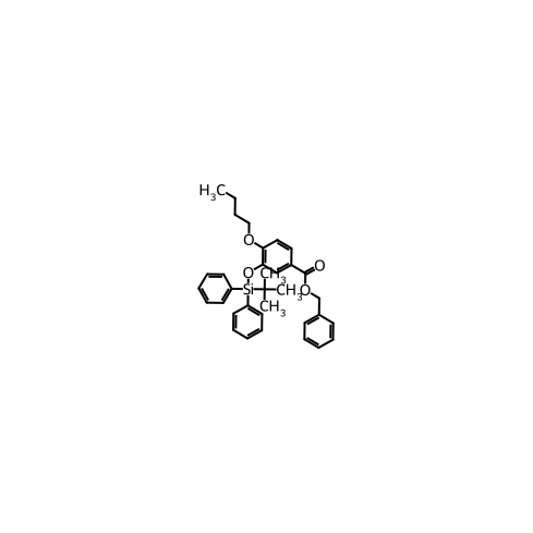 CCCCOc1ccc(C(=O)OCc2ccccc2)cc1O[Si](c1ccccc1)(c1ccccc1)C(C)(C)C